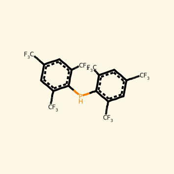 FC(F)(F)c1cc(C(F)(F)F)c(Pc2c(C(F)(F)F)cc(C(F)(F)F)cc2C(F)(F)F)c(C(F)(F)F)c1